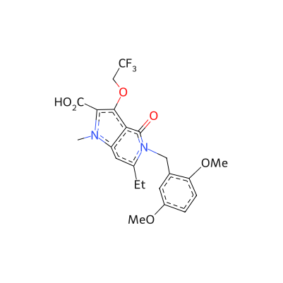 CCc1cc2c(c(OCC(F)(F)F)c(C(=O)O)n2C)c(=O)n1Cc1cc(OC)ccc1OC